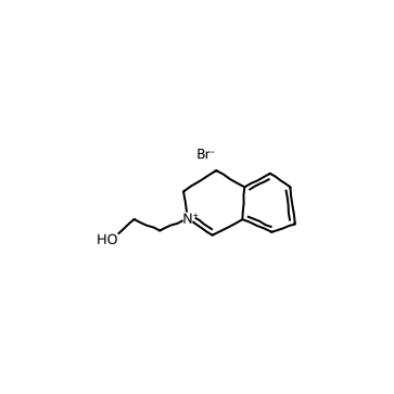 OCC[N+]1=Cc2ccccc2CC1.[Br-]